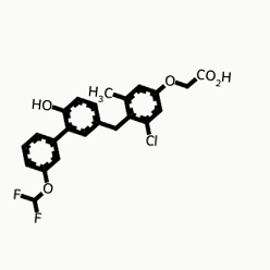 Cc1cc(OCC(=O)O)cc(Cl)c1Cc1ccc(O)c(-c2cccc(OC(F)F)c2)c1